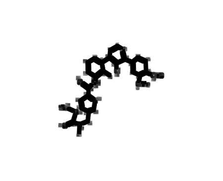 COc1cc(-c2nccc(-c3cccc(NC(=O)c4ccc(CN(C)C(=O)OC(C)(C)C)cn4)c3C)c2Cl)ccc1C=O